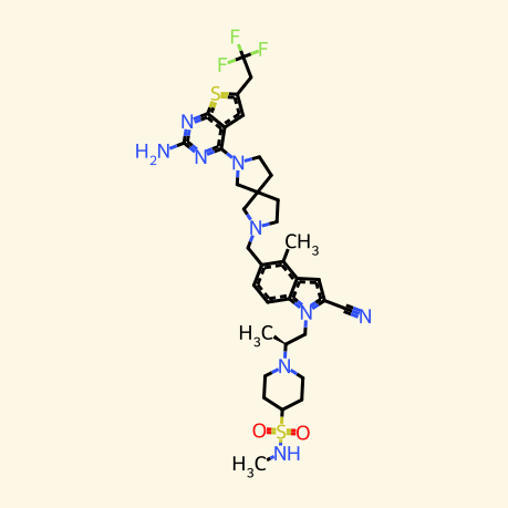 CNS(=O)(=O)C1CCN([C@@H](C)Cn2c(C#N)cc3c(C)c(CN4CCC5(CCN(c6nc(N)nc7sc(CC(F)(F)F)cc67)C5)C4)ccc32)CC1